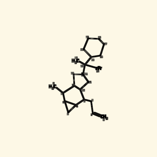 C=CCC1C2CC2C(C)C2CN(C(C)(CCC)C3CCCCC3)CC21